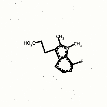 Cc1c(CCC(=O)O)c2cccc(F)c2n1C